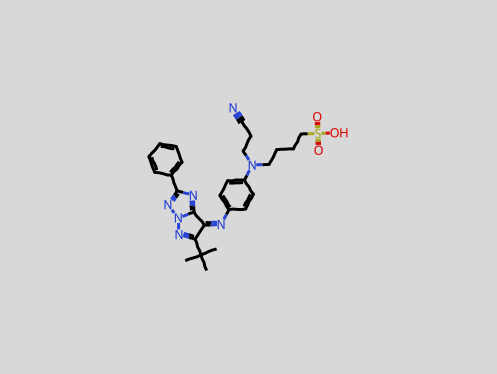 CC(C)(C)C1=Nn2nc(-c3ccccc3)nc2/C1=N\c1ccc(N(CCC#N)CCCCS(=O)(=O)O)cc1